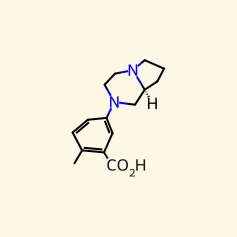 Cc1ccc(N2CCN3CCC[C@H]3C2)cc1C(=O)O